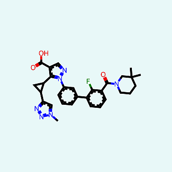 Cn1cc(C2CC2c2c(C(=O)O)cnn2-c2cccc(-c3cccc(C(=O)N4CCCC(C)(C)C4)c3F)c2)nn1